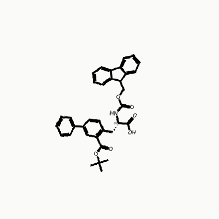 CC(C)(C)OC(=O)c1cc(-c2ccccc2)ccc1C[C@H](NC(=O)OCC1c2ccccc2-c2ccccc21)C(=O)O